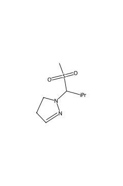 CC(C)C(N1CCC=N1)S(C)(=O)=O